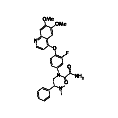 COc1cc2nccc(Oc3ccc(N(CC(c4ccccc4)N(C)C)C(=O)C(N)=O)cc3F)c2cc1OC